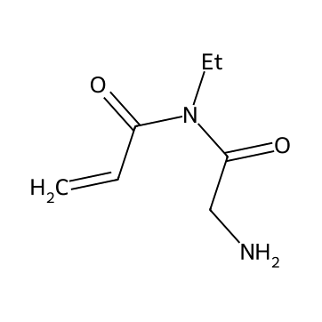 C=CC(=O)N(CC)C(=O)CN